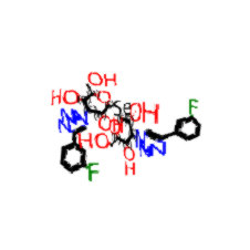 OC[C@H]1O[C@@H]([Se][C@@H]2O[C@H](CO)[C@H](O)[C@H](n3cc(-c4cccc(F)c4)nn3)[C@H]2O)[C@H](O)[C@@H](n2cc(-c3cccc(F)c3)nn2)[C@H]1O